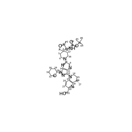 C[C@@H]1OCC2(CCN(c3cnc4c(N5CC[C@H](C)c6nc(CO)ccc65)nn(C5CCCCO5)c4n3)CC2)[C@@H]1NC(=O)OC(C)(C)C